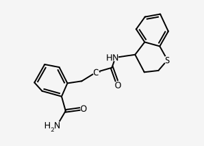 NC(=O)c1ccccc1C[CH]C(=O)NC1CCSc2ccccc21